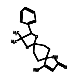 CC1(C)OC2(CCC3(CC2)NC(=O)C=C3O)OC1c1ccccc1